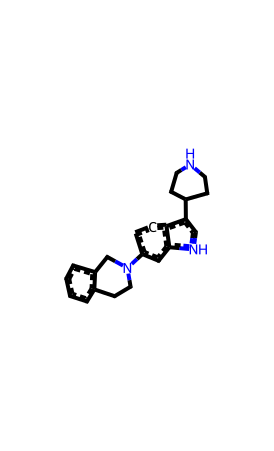 c1ccc2c(c1)CCN(c1ccc3c(C4CCNCC4)c[nH]c3c1)C2